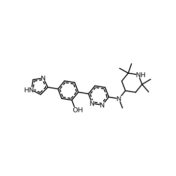 CN(c1ccc(-c2ccc(-c3c[nH]cn3)cc2O)nn1)C1CC(C)(C)NC(C)(C)C1